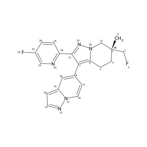 C[C@@]1(CF)CCc2c(-c3ccn4nccc4c3)c(-c3ccc(F)cn3)nn2C1